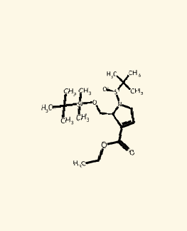 CCOC(=O)C1=CCN([S@@+]([O-])C(C)(C)C)[C@@H]1CO[Si](C)(C)C(C)(C)C